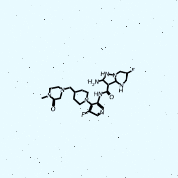 CN1CCN(CC2CCN(c3c(F)cncc3NC(=O)C3C(N)NN4CC(F)CNC34)CC2)CC1=O